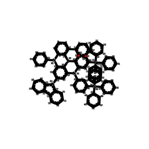 c1ccc(-c2cccc3c2B2c4ccc([Si](c5ccccc5)(c5ccccc5)c5ccccc5)cc4N(c4cccc([Si](c5ccccc5)(c5ccccc5)c5ccccc5)c4)c4cc(-n5c6ccccc6c6ccccc65)cc(c42)N3c2ccccc2)cc1